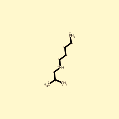 CC(C)CNCCCCP